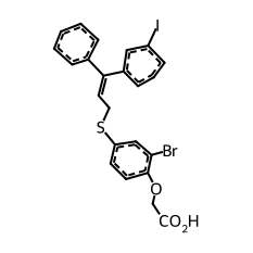 O=C(O)COc1ccc(SCC=C(c2ccccc2)c2cccc(I)c2)cc1Br